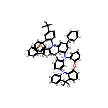 CC(C)(C)c1ccc(N2c3cc(-c4ccccc4)cc4c3B(c3ccc5cc3N4c3ccccc3Oc3cccc4c3N5c3ccccc3C4(C)C)c3sc4c(sc5ccccc54)c32)c(-c2ccccc2)c1